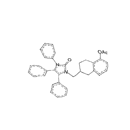 CC(=O)Oc1cccc2c1CCC(Cn1c(-c3ccccc3)c(-c3ccccc3)n(-c3ccccc3)c1=O)C2